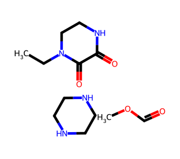 C1CNCCN1.CCN1CCNC(=O)C1=O.COC=O